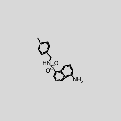 Cc1ccc(CNS(=O)(=O)c2cccc3c(N)cccc23)cc1